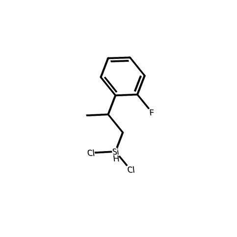 CC(C[SiH](Cl)Cl)c1ccccc1F